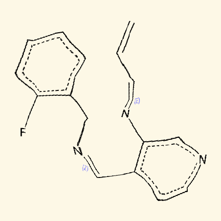 C=C/C=N/c1cnccc1/C=N\Cc1ccccc1F